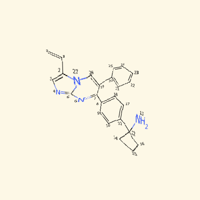 C=Cc1cnc2nc(-c3ccc(C4(N)CCC4)cc3)c(-c3ccccc3)cn12